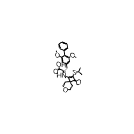 COc1cc(C[C@H](NC2=C(SC(C)C)C(=O)C23CCOCC3)C(=O)O)cc(OC)c1-c1ccccc1